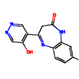 O=C1CC(c2cnncc2O)=Nc2ccc(Br)cc2N1